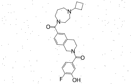 O=C(c1ccc2c(c1)CCN(C(=O)c1ccc(F)c(O)c1)C2)N1CCCN(C2CCC2)CC1